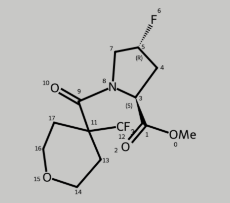 COC(=O)[C@@H]1C[C@@H](F)CN1C(=O)C1(C(F)(F)F)CCOCC1